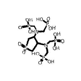 O=P(O)(O)CN(CP(=O)(O)O)C1CS(=O)(=O)CC1N(CP(=O)(O)O)CP(=O)(O)O